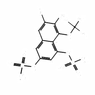 [2H]C([2H])([2H])Oc1c(C#N)c(F)cc2cc(OS(=O)(=O)C(F)(F)F)cc(OS(=O)(=O)C(F)(F)F)c12